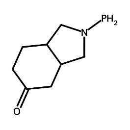 O=C1CCC2CN(P)CC2C1